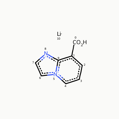 O=C(O)c1cccn2ccnc12.[Li]